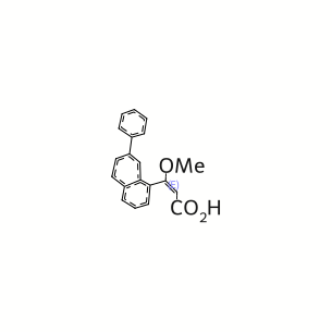 CO/C(=C/C(=O)O)c1cccc2ccc(-c3ccccc3)cc12